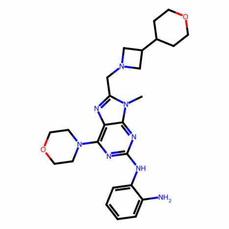 Cn1c(CN2CC(C3CCOCC3)C2)nc2c(N3CCOCC3)nc(Nc3ccccc3N)nc21